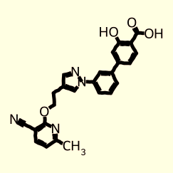 Cc1ccc(C#N)c(OCCc2cnn(-c3cccc(-c4ccc(C(=O)O)c(O)c4)c3)c2)n1